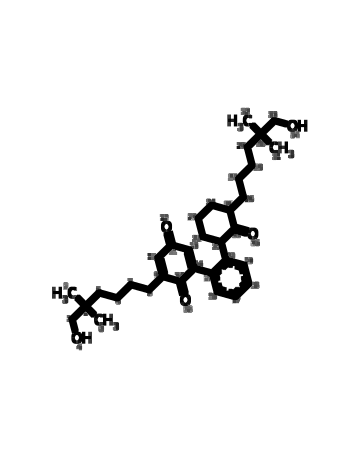 CC(C)(CO)CCCCC1=CC(=O)C=C(c2ccccc2C2CCCC(CCCCC(C)(C)CO)C2=O)C1=O